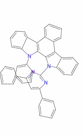 c1ccc(-c2cc(-c3ccccc3)nc(-n3c4ccccc4c4c5ccccc5c5c6ccccc6n(-c6ccccc6)c5c43)n2)cc1